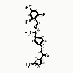 C/C(=N\OCc1c(C(C)C)cc(C(C)C)cc1C(C)C)c1ccc(OCC(=O)c2ccc(C)o2)cc1